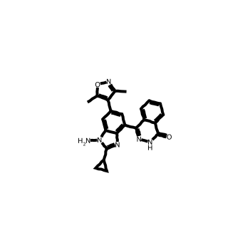 Cc1noc(C)c1-c1cc(-c2n[nH]c(=O)c3ccccc23)c2nc(C3CC3)n(N)c2c1